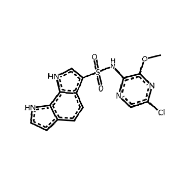 COc1nc(Cl)cnc1NS(=O)(=O)c1c[nH]c2c1ccc1cc[nH]c12